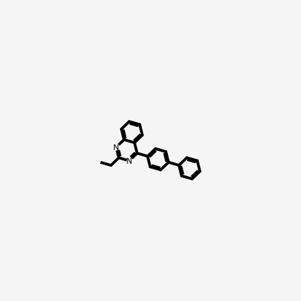 CCc1nc(-c2ccc(-c3ccccc3)cc2)c2ccccc2n1